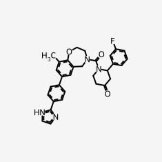 Cc1cc(-c2ccc(-c3ncc[nH]3)cc2)cc2c1OCCN(C(=O)N1CCC(=O)CC1c1cccc(F)c1)C2